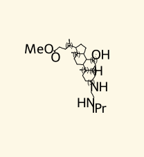 COC(=O)CC[C@@H](C)C1CCC2C3C(CC[C@@]21C)[C@@]1(C)CC[C@H](NCCNC(C)C)C[C@@H]1C[C@H]3O